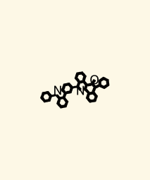 c1ccc(-c2nc3ccc(-c4nc5c6ccccc6c6c7ccccc7oc6c5c5ccccc45)cc3c3ccccc23)cc1